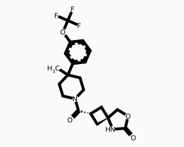 CC1(c2cccc(OC(F)(F)F)c2)CCN(C(=O)[C@H]2C[C@]3(COC(=O)N3)C2)CC1